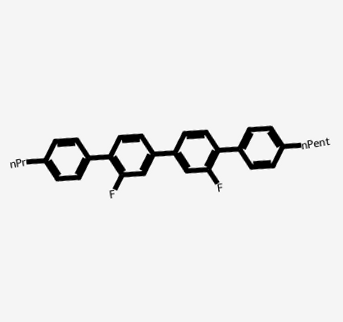 CCCCCc1ccc(-c2ccc(-c3ccc(-c4ccc(CCC)cc4)c(F)c3)cc2F)cc1